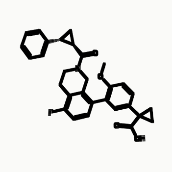 COc1ccc(C2(C(=O)O)CC2)cc1-c1ccc(F)c2c1CN(C(=O)[C@@H]1C[C@H]1c1ccccc1)CC2